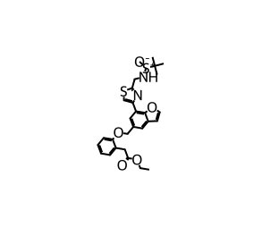 CCOC(=O)Cc1ccccc1OCc1cc(-c2csc(CN[S+]([O-])C(C)(C)C)n2)c2occc2c1